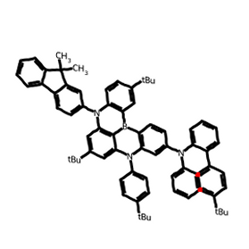 CC(C)(C)c1ccc(-c2ccccc2N(c2ccccc2)c2ccc3c(c2)N(c2ccc(C(C)(C)C)cc2)c2cc(C(C)(C)C)cc4c2B3c2cc(C(C)(C)C)ccc2N4c2ccc3c(c2)C(C)(C)c2ccccc2-3)cc1